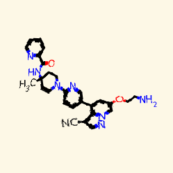 CC1(NC(=O)c2ccccn2)CCN(c2ccc(-c3cc(OCCN)cn4ncc(C#N)c34)cn2)CC1